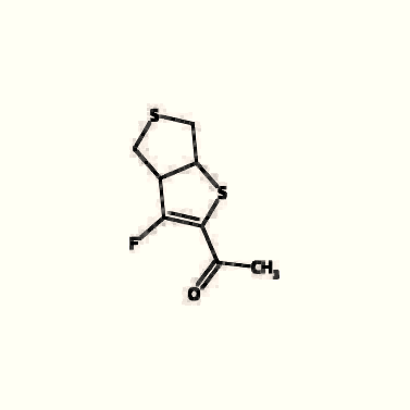 CC(=O)C1=C(F)C2CSCC2S1